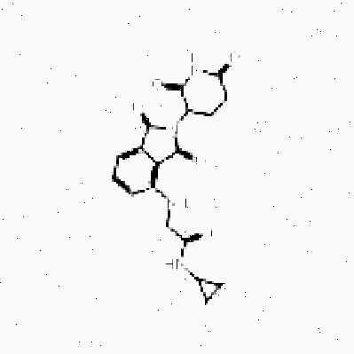 O=C1CCC(N2C(=O)c3cccc(NCC(=O)NC4CC4)c3C2=O)C(=O)N1